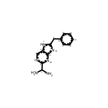 NC(N)c1ncc2[nH]c(Cc3ccccc3)nc2n1